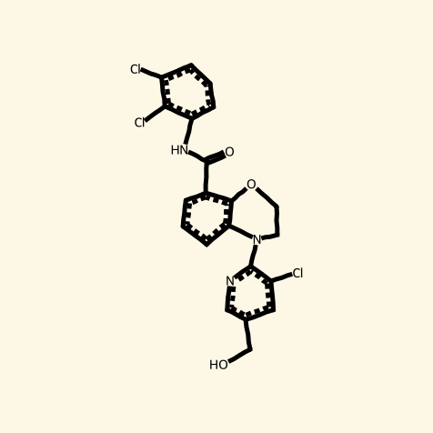 O=C(Nc1cccc(Cl)c1Cl)c1cccc2c1OCCN2c1ncc(CO)cc1Cl